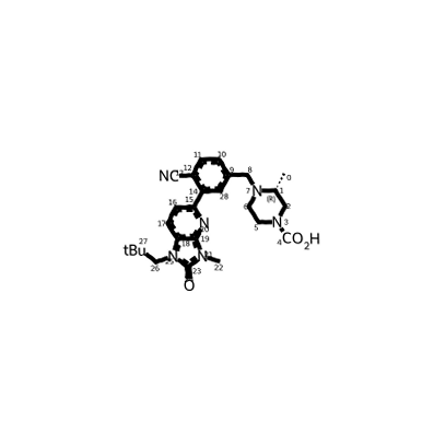 C[C@@H]1CN(C(=O)O)CCN1Cc1ccc(C#N)c(-c2ccc3c(n2)n(C)c(=O)n3CC(C)(C)C)c1